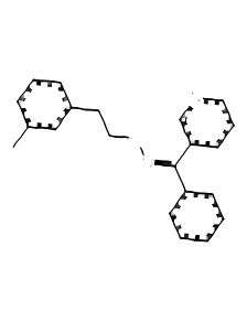 Cc1cccc(CCON=C(c2ccccc2)c2cccnc2)c1